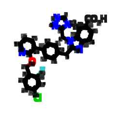 CCCn1cnnc1Cn1c(Cc2ccc(-c3cccnc3OCc3ccc(Cl)cc3F)cc2)nc2ccc(C(=O)O)cc21